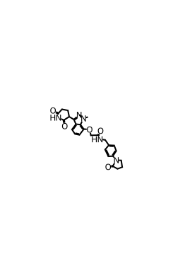 Cn1nc(C2CCC(=O)NC2=O)c2cccc(OCC(=O)NCc3ccc(N4CCCC4=O)cc3)c21